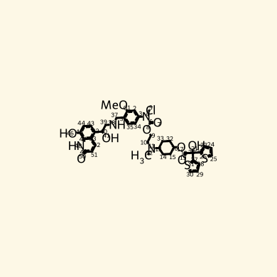 COc1cc(N(Cl)C(=O)OCCN(C)C2CCC(OC(=O)C(O)(c3cccs3)c3cccs3)CC2)ccc1CNCC(O)c1ccc(O)c2[nH]c(=O)ccc12